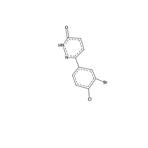 O=c1ccc(-c2ccc(Cl)c(Br)c2)n[nH]1